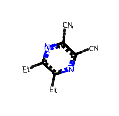 CCc1nc(C#N)c(C#N)nc1CC